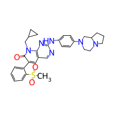 CS(=O)(=O)c1ccccc1-c1cc2cnc(Nc3ccc(N4CCN5CCCC5C4)cc3)nc2n(CC2CC2)c1=O